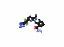 Cc1cccc(C(N)=O)c1Cn1nc(C)c2ccc(C(F)(F)c3nnn[nH]3)nc21